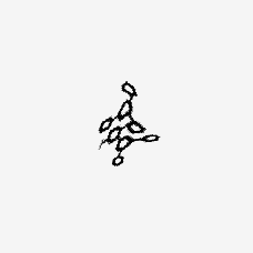 Ic1ccc(-c2ccccc2-c2cc(-c3ccccc3)cc(-c3ccccc3)c2)c(-c2cc(-c3ccccc3)cc(-c3ccccc3)c2)c1